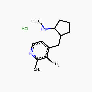 Cc1nccc(CC2CCCC2NC(=O)O)c1C.Cl